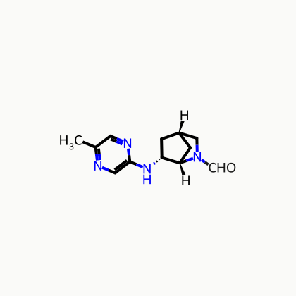 Cc1cnc(N[C@@H]2C[C@H]3C[C@@H]2N(C=O)C3)cn1